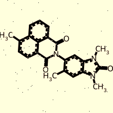 Cc1cc2c(cc1N1C(=O)c3cccc4c(C)ccc(c34)C1=O)n(C)c(=O)n2C